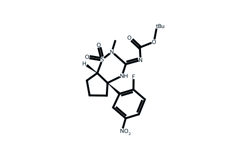 CN1/C(=N\C(=O)OC(C)(C)C)N[C@]2(c3cc([N+](=O)[O-])ccc3F)CCC[C@@H]2S1(=O)=O